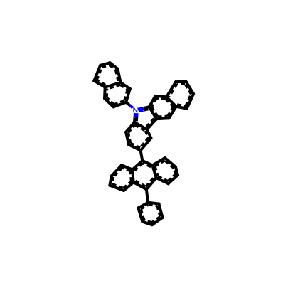 c1ccc(-c2c3ccccc3c(-c3ccc4c(c3)c3cc5ccccc5cc3n4-c3ccc4ccccc4c3)c3ccccc23)cc1